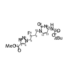 COC(=O)c1cn(CC(F)CCn2ccc(NC(=O)OC(C)(C)C)nc2=O)nn1